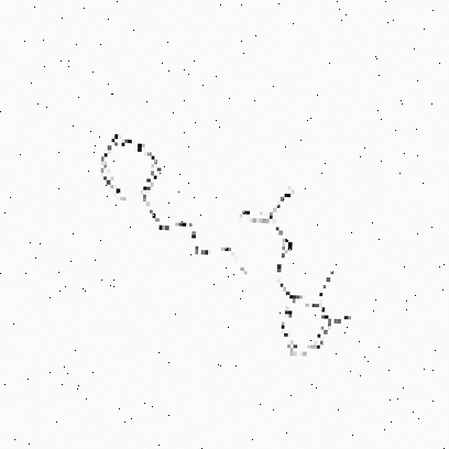 Cc1cccc(C(CCCCCc2ccccc2)OC(=O)O)c1C